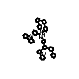 c1ccc(-c2cccc(-c3cc(-c4ccc(-c5nc(-c6cccc(-c7cccc(-c8ccccc8-c8ccccc8)c7)c6)nc(-c6cccc(-n7c8ccccc8c8ccccc87)c6)n5)cc4)cc(-c4cccc5c4oc4ccccc45)c3)c2)cc1